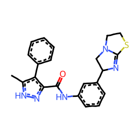 Cc1[nH]nc(C(=O)Nc2cccc(C3CN4CCSC4=N3)c2)c1-c1ccccc1